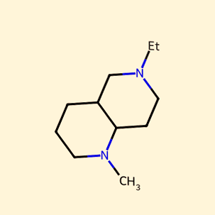 CCN1CCC2C(CCCN2C)C1